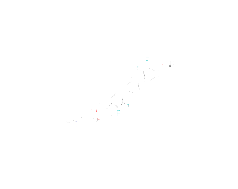 BCOc1ccc(-c2ccc(-c3ccc(C4COC(CC/C=C/C)OC4)c(F)c3F)cc2)c(F)c1F